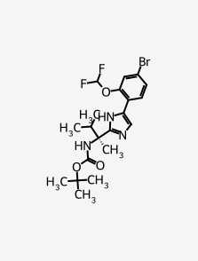 CC(C)[C@](C)(NC(=O)OC(C)(C)C)c1ncc(-c2ccc(Br)cc2OC(F)F)[nH]1